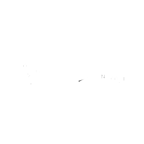 CC1(C)C[C@H](CCCCCOS(C)(=O)=O)CN1C(=O)O